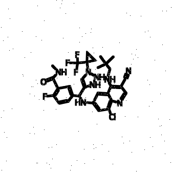 CNC(=O)c1cc([C@H](Nc2cc(Cl)c3ncc(C#N)c(NCC(C)(C)C)c3c2)C2=CN(C3(C(F)(F)F)CC3)NN2)ccc1F